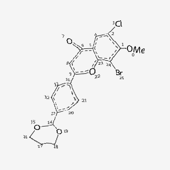 COc1c(Cl)cc2c(=O)cc(-c3ccc(C4OCCCO4)cc3)oc2c1Br